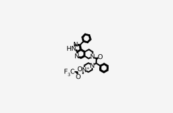 C[N+]1(OC(=O)C(F)(F)F)CCN(C(C(=O)N2CCc3c(cnc4[nH]nc(-c5ccccc5)c34)C2)c2ccccc2)CC1